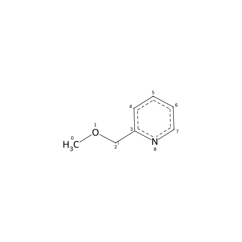 CO[C]c1ccccn1